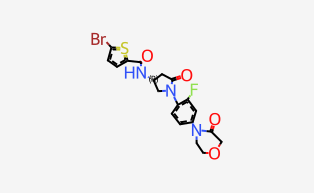 O=C(N[C@@H]1CC(=O)N(c2ccc(N3CCOCC3=O)cc2F)C1)c1ccc(Br)s1